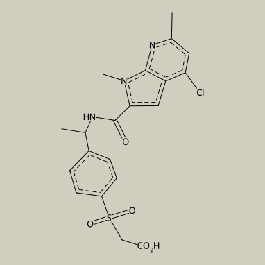 Cc1cc(Cl)c2cc(C(=O)NC(C)c3ccc(S(=O)(=O)CC(=O)O)cc3)n(C)c2n1